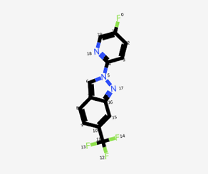 Fc1ccc(-n2cc3ccc(C(F)(F)F)cc3n2)nc1